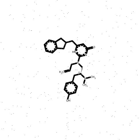 C=CCN(C[C@@H](Cc1ccc(O)cc1)N(C)C)c1nc(=O)cc(CC2Cc3ccccc3C2)[nH]1